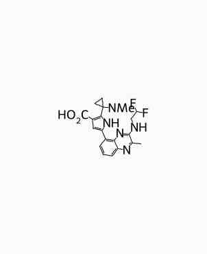 CNC1(c2[nH]c(-c3cccc4nc(C)c(NCC(F)F)nc34)cc2C(=O)O)CC1